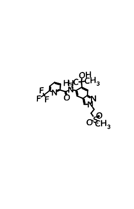 CC(C)(O)c1cc2nn(CCS(C)(=O)=O)cc2cc1NC(=O)c1cccc(C(F)(F)F)n1